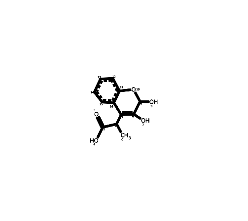 CC(C(=O)O)C1=C(O)C(O)Oc2ccccc21